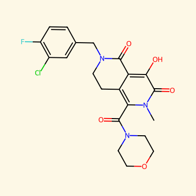 Cn1c(C(=O)N2CCOCC2)c2c(c(O)c1=O)C(=O)N(Cc1ccc(F)c(Cl)c1)CC2